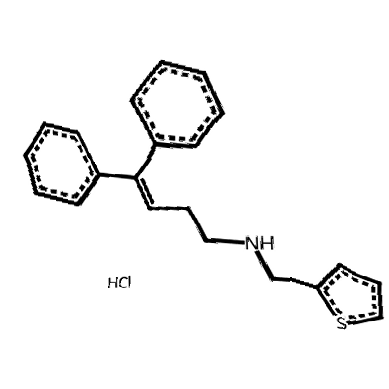 C(CCNCc1cccs1)=C(c1ccccc1)c1ccccc1.Cl